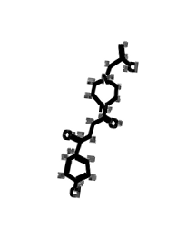 C=C(Cl)CN1CCN(C(=O)CCC(=O)c2ccc(Cl)cc2)CC1